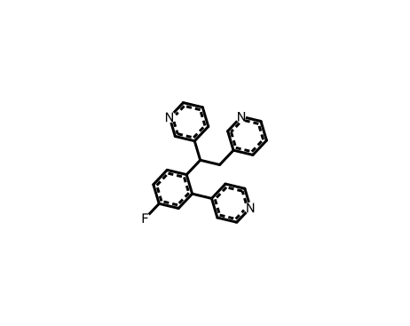 Fc1ccc(C(Cc2cccnc2)c2cccnc2)c(-c2ccncc2)c1